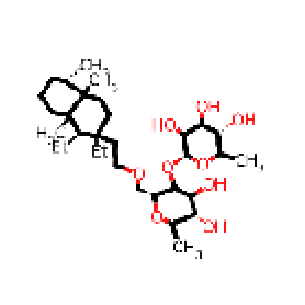 CC[C@@H]1C(CC)(CCOC[C@@H]2OC(C)[C@@H](O)C(O)C2O[C@@H]2OC(C)[C@@H](O)C(O)C2O)CCC2(C)[C@@H](C)CCC[C@@]12C